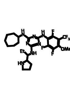 CCC(Nc1nc(Nc2c(F)c(F)c(OC)c(C(F)(F)F)c2F)nc(NC2CCCCCC2)n1)C1CCCN1